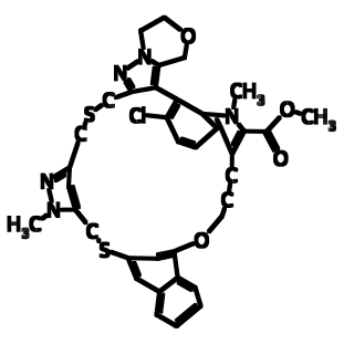 COC(=O)c1c2c3ccc(Cl)c(c3n1C)-c1c(nn3c1COCC3)CSCc1cc(n(C)n1)CSc1cc(c3ccccc3c1)OCCC2